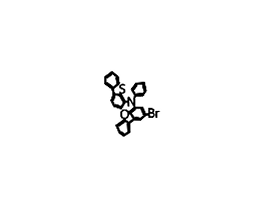 Brc1cc(N(c2ccccc2)c2cccc3c2sc2ccccc23)c2oc3ccccc3c2c1